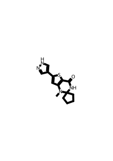 CN1c2cc(-c3cn[nH]c3)sc2C(=O)NC12CCCC2